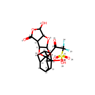 O=C1OC(O)C2OC3OC4(OC3C12)C1CC2CC(O)C(C(=O)C(F)(F)S(=O)(=O)O)C(C1)CC4C2